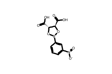 O=C(O)[C@H]1OB(c2cccc([N+](=O)[O-])c2)O[C@@H]1C(=O)O